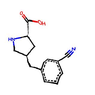 N#Cc1cccc(C[C@H]2CN[C@H](C(=O)O)C2)c1